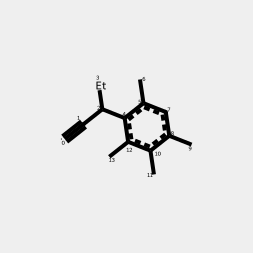 [C]#CC(CC)c1c(C)cc(C)c(C)c1C